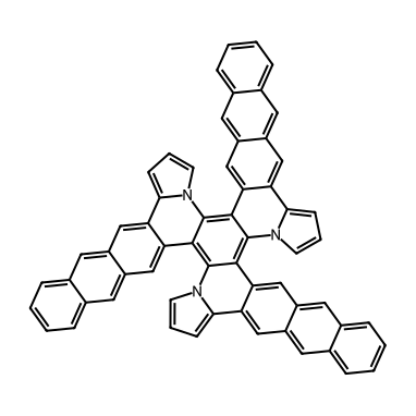 c1ccc2cc3cc4c(cc3cc2c1)c1c2c(c3cc5cc6ccccc6cc5cc3c3cccn32)c2c(c3cc5cc6ccccc6cc5cc3c3cccn32)c1n1cccc41